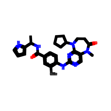 COc1cc(C(=O)NC(C)c2ccc[nH]2)ccc1Nc1ncc2c(n1)N(C1CCCC1)CCC(=O)N2C